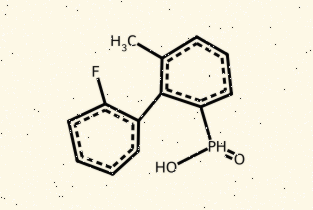 Cc1cccc([PH](=O)O)c1-c1ccccc1F